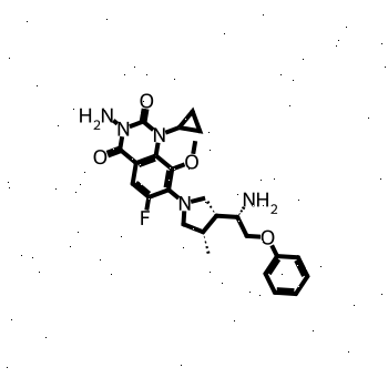 COc1c(N2C[C@H]([C@H](N)COc3ccccc3)[C@H](C)C2)c(F)cc2c(=O)n(N)c(=O)n(C3CC3)c12